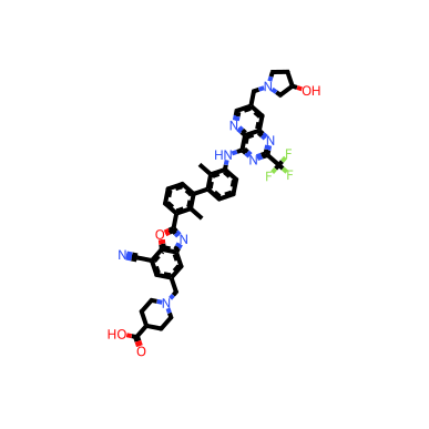 Cc1c(Nc2nc(C(F)(F)F)nc3cc(CN4CCC(O)C4)cnc23)cccc1-c1cccc(-c2nc3cc(CN4CCC(C(=O)O)CC4)cc(C#N)c3o2)c1C